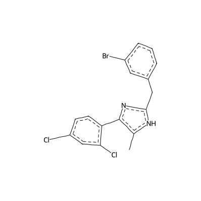 Cc1[nH]c(Cc2cccc(Br)c2)nc1-c1ccc(Cl)cc1Cl